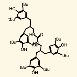 CC(C)(C)c1cc(CC(CNC(=O)NCC(Cc2cc(C(C)(C)C)c(O)c(C(C)(C)C)c2)Cc2cc(C(C)(C)C)c(O)c(C(C)(C)C)c2)Cc2cc(C(C)(C)C)c(O)c(C(C)(C)C)c2)cc(C(C)(C)C)c1O